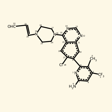 Cc1c(C(F)(F)F)cc(N)nc1-c1cc2ncnc(N3CCN(C=CC=O)CC3)c2cc1Cl